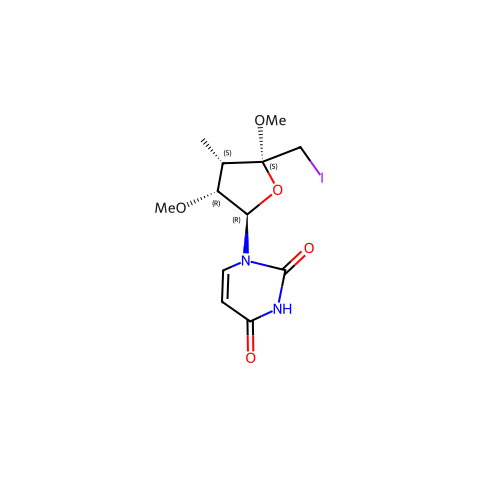 CO[C@H]1[C@H](n2ccc(=O)[nH]c2=O)O[C@@](CI)(OC)[C@H]1C